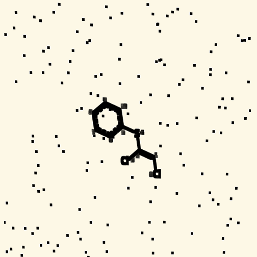 ClC=C(Cl)Sc1[c]cccc1